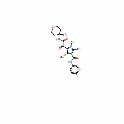 Cc1c(C(=O)Nc2ccc(F)nc2)c(C)n(C)c1C(=O)C(=O)NC1(C(F)(F)F)CCOCC1